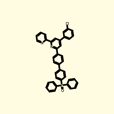 O=P(c1ccccc1)(c1ccccc1)c1ccc(-c2ccc(-c3cc(-c4cccc(Cl)c4)cc(-c4ccccn4)n3)cc2)cc1